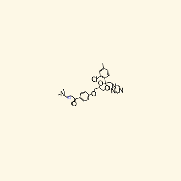 Cc1ccc(C2(Cn3cncn3)OCC(COc3ccc(C(=O)/C=C/N(C)C)cc3)O2)c(Cl)c1